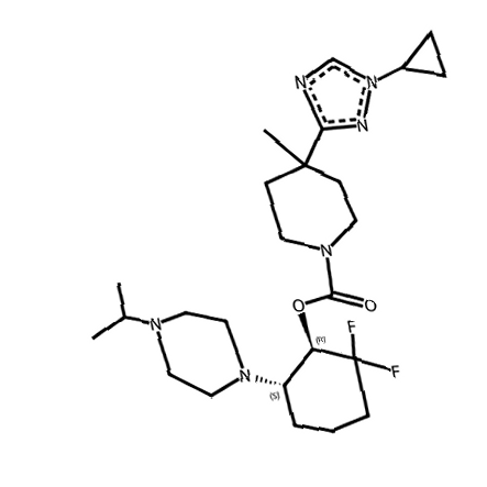 CC(C)N1CCN([C@H]2CCCC(F)(F)[C@@H]2OC(=O)N2CCC(C)(c3ncn(C4CC4)n3)CC2)CC1